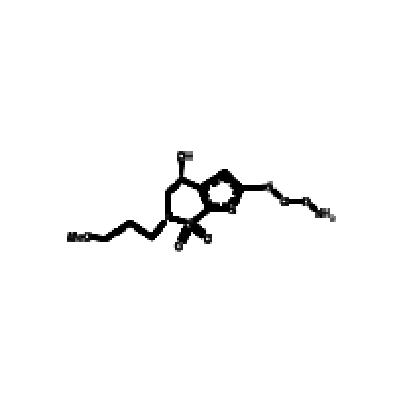 COCCCN1C[C@@H](O)c2cc(SOON)sc2S1(=O)=O